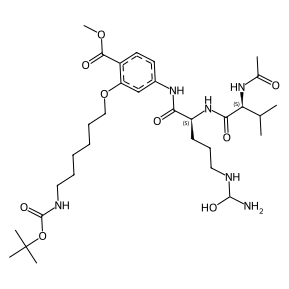 COC(=O)c1ccc(NC(=O)[C@H](CCCNC(N)O)NC(=O)[C@@H](NC(C)=O)C(C)C)cc1OCCCCCCNC(=O)OC(C)(C)C